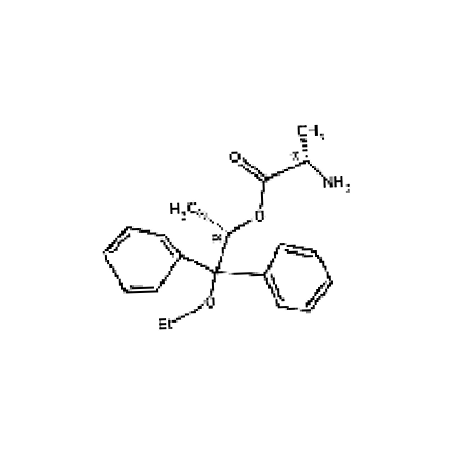 CCOC(c1ccccc1)(c1ccccc1)[C@H](C)OC(=O)[C@H](C)N